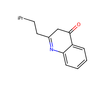 CC(C)CCC1=Nc2ccccc2C(=O)C1